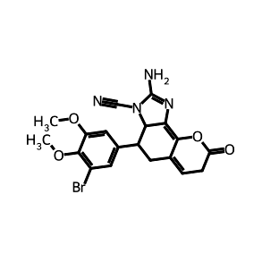 COc1cc(C2CC3=CCC(=O)OC3=C3N=C(N)N(C#N)C32)cc(Br)c1OC